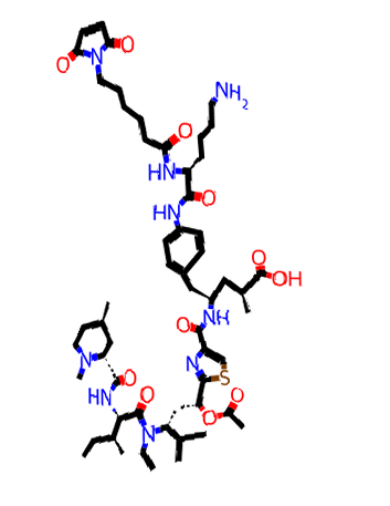 CC[C@H](C)[C@H](NC(=O)[C@H]1C[C@H](C)CCN1C)C(=O)N(CC)[C@H](C[C@@H](OC(C)=O)c1nc(C(=O)N[C@@H](Cc2ccc(NC(=O)[C@H](CCCCN)NC(=O)CCCCCN3C(=O)C=CC3=O)cc2)C[C@H](C)C(=O)O)cs1)C(C)C